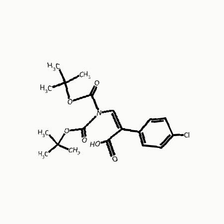 CC(C)(C)OC(=O)N(C=C(C(=O)O)c1ccc(Cl)cc1)C(=O)OC(C)(C)C